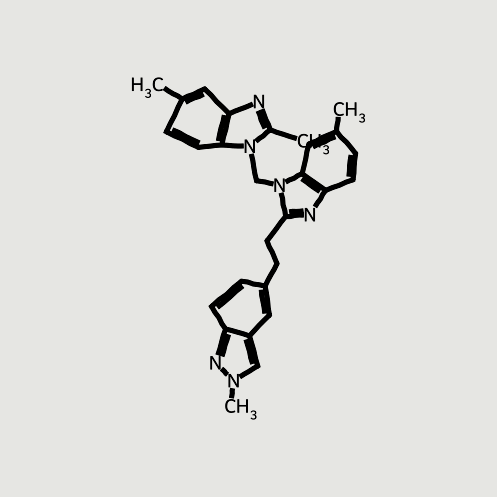 Cc1ccc2c(c1)nc(C)n2Cn1c(CCc2ccc3nn(C)cc3c2)nc2ccc(C)cc21